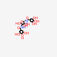 O=C(NC[C@H]1OC(O)[C@@](O)(CNC(=O)c2cc(O)c(O)c(O)c2)[C@@H]1O)c1cc(O)c(O)c(O)c1